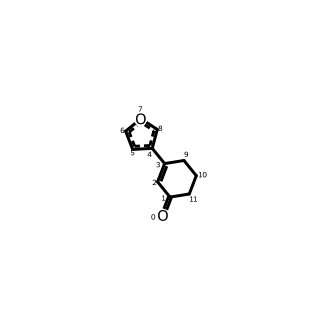 O=C1C=C(c2ccoc2)CCC1